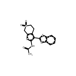 CC(=O)Nc1sc2c(c1-c1nc3ccccc3s1)CCS(=O)(=O)C2